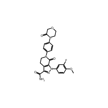 COc1ccc(-n2nc(C(N)=O)c3c2C(=O)N(c2ccc(N4CCOCC4=O)cc2)CC3)cc1F